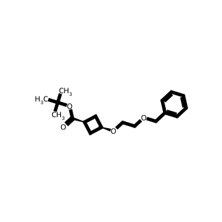 CC(C)(C)OC(=O)[C@H]1C[C@@H](OCCOCc2ccccc2)C1